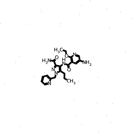 CCCc1c(NC(=O)c2cc(N)cnc2OCC)c(C(N)=O)nn1Cc1ccccn1